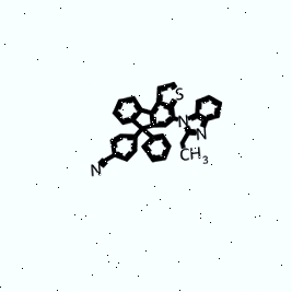 CCc1nc2ccccc2n1-c1cc2c(c3ccsc13)-c1ccccc1C2(c1ccccc1)c1ccc(C#N)cc1